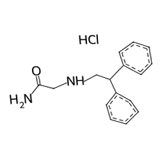 Cl.NC(=O)CNCCC(c1ccccc1)c1ccccc1